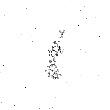 COc1nc(NCCCN(C)C)nc(OC)c1NC(=O)c1ccc(Cc2c(C)cc3c(c2C)C(C)(C)CO3)o1